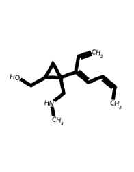 C=C/C(=C\C=C/C)C1(CNC)CC1CO